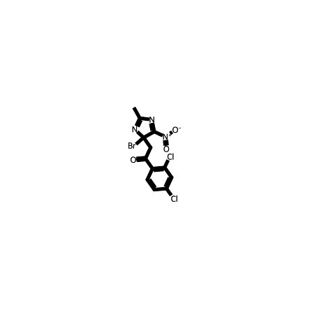 CC1=NC(Br)(CC(=O)c2ccc(Cl)cc2Cl)C([N+](=O)[O-])=N1